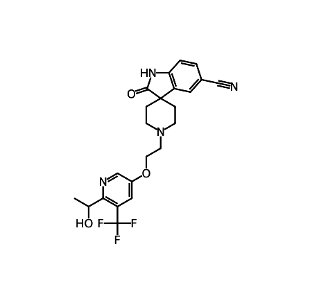 CC(O)c1ncc(OCCN2CCC3(CC2)C(=O)Nc2ccc(C#N)cc23)cc1C(F)(F)F